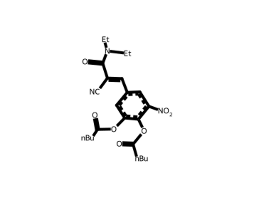 CCCCC(=O)Oc1cc(/C=C(\C#N)C(=O)N(CC)CC)cc([N+](=O)[O-])c1OC(=O)CCCC